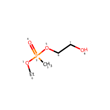 CCOP(C)(=O)OCCO